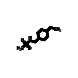 CCC1CCC(CNS(C)(=O)=O)CC1